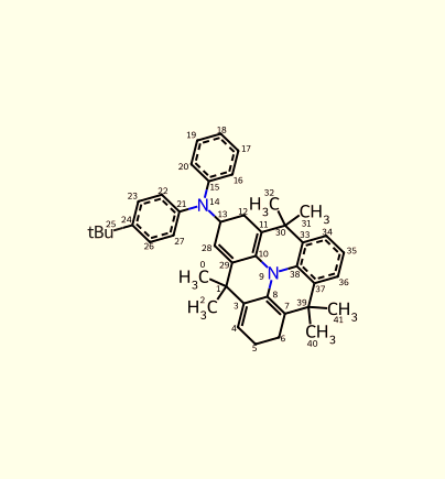 CC1(C)C2=CCCC3=C2N2C4=C(CC(N(c5ccccc5)c5ccc(C(C)(C)C)cc5)C=C41)C(C)(C)c1cccc(c12)C3(C)C